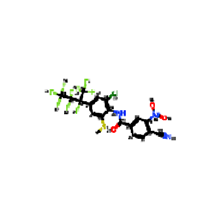 CSc1cc(C(F)(C(F)(F)F)C(F)(F)C(F)(F)F)cc(Cl)c1NC(=O)c1ccc(C#N)c([N+](=O)[O-])c1